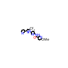 COc1ccc(C(=O)Nc2ccc(-n3nc(-c4cccnc4)cc3C(F)(F)F)cn2)cn1